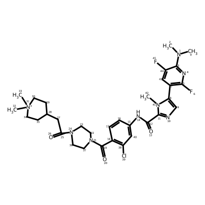 CN(C)c1nc(F)c(-c2cnc(C(=O)Nc3ccc(C(=O)N4CCN(C(=O)CC5CC[N+](C)(C)CC5)CC4)c(Cl)c3)n2C)cc1F